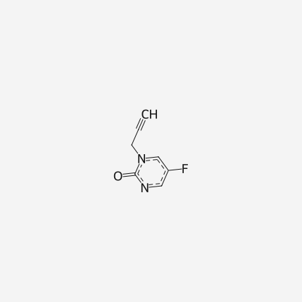 C#CCn1cc(F)cnc1=O